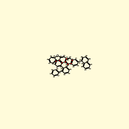 c1ccc(-c2ccccc2-c2c(-c3ccccc3)cccc2N(c2ccc(-c3cccc4ccccc34)cc2)c2ccc3oc4ccccc4c3c2)cc1